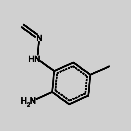 C=NNc1cc(C)ccc1N